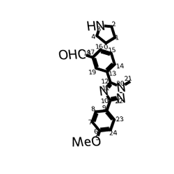 C1CCNC1.COc1ccc(-c2nc(-c3cccc(C=O)c3)n(C)n2)cc1